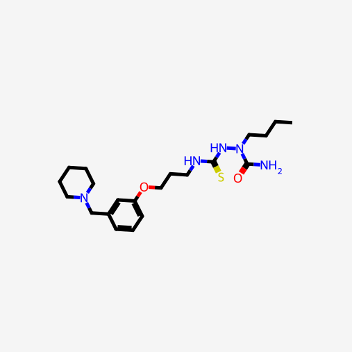 CCCCN(NC(=S)NCCCOc1cccc(CN2CCCCC2)c1)C(N)=O